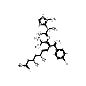 C=C(C(/C=C/[C@@H](O)C[C@@H](O)CC(=O)O)=C(\N=C(/N)N(C)c1ncnn1C)C(C)C)c1ccc(F)cc1